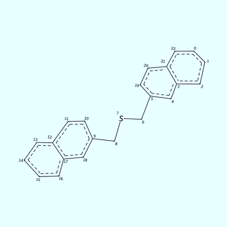 c1ccc2cc(CSCc3ccc4ccccc4c3)ccc2c1